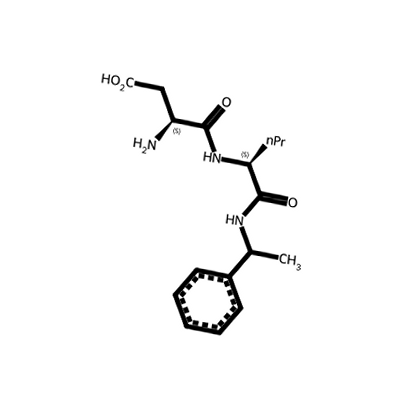 CCC[C@H](NC(=O)[C@@H](N)CC(=O)O)C(=O)NC(C)c1ccccc1